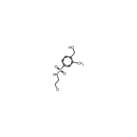 Cc1cc(S(=O)(=O)NCCCl)ccc1CO